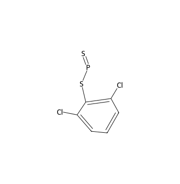 S=PSc1c(Cl)cccc1Cl